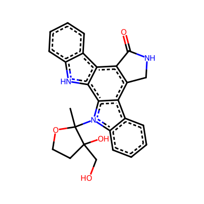 CC1(n2c3ccccc3c3c4c(c5c6ccccc6[nH]c5c32)C(=O)NC4)OCCC1(O)CO